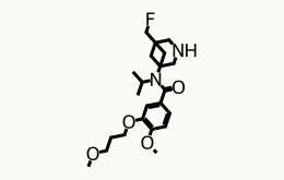 COCCCOc1cc(C(=O)N(C(C)C)C23CNCC(CF)(C2)C3)ccc1OC